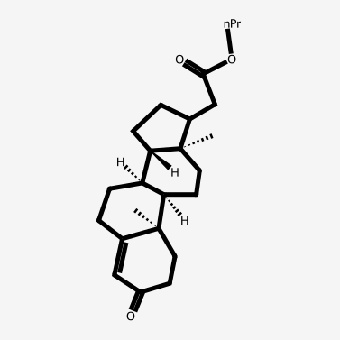 CCCOC(=O)CC1CC[C@H]2[C@@H]3CCC4=CC(=O)CC[C@]4(C)[C@@H]3CC[C@]12C